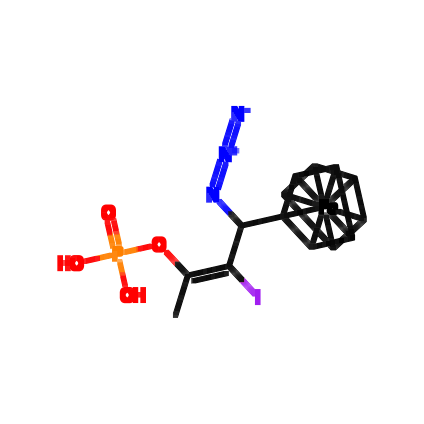 CC(OP(=O)(O)O)=C(I)C(N=[N+]=[N-])[C]12[CH]3[CH]4[CH]5[CH]1[Fe]45321678[CH]2[CH]1[CH]6[CH]7[CH]28